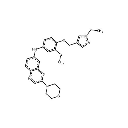 CCn1cc(COc2ccc(Nc3ccc4ncc(N5CCOCC5)nc4c3)cc2OC)cn1